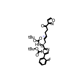 CC(C)(C)OC(=O)N[C@@H](C/C=C/CCC(=O)c1ccon1)c1ncc(-c2ccccc2F)n1C(=O)OC(C)(C)C